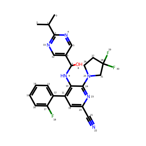 CC(C)c1ncc(C(O)Nc2c(-c3ccccc3F)cc(C#N)nc2N2CCC(F)(F)C2)cn1